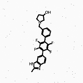 Cc1nc2ccc(-c3c(F)c(F)c(-c4cccc(CN5CCC(O)C5)c4)c(F)c3F)cc2[nH]1